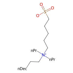 CCCCCCCCCCCC[N+](CCC)(CCC)CCCCCS(=O)(=O)[O-]